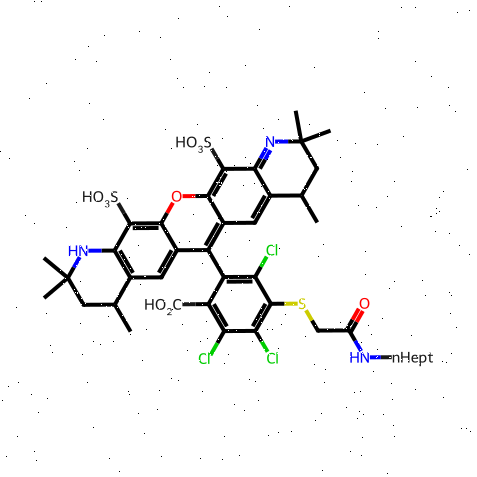 CCCCCCCNC(=O)CSc1c(Cl)c(Cl)c(C(=O)O)c(C2=c3cc4c(c(S(=O)(=O)O)c3Oc3c2cc2c(c3S(=O)(=O)O)NC(C)(C)CC2C)=NC(C)(C)CC4C)c1Cl